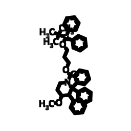 COC1CCN(C(=O)OCCCO[Si](c2ccccc2)(c2ccccc2)C(C)(C)C)C(c2ccccc2)(c2ccccc2)C1c1ccccc1